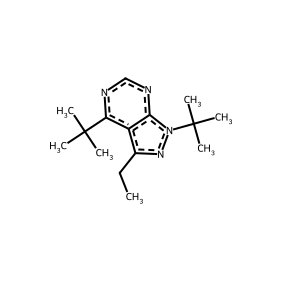 CCc1nn(C(C)(C)C)c2ncnc(C(C)(C)C)c12